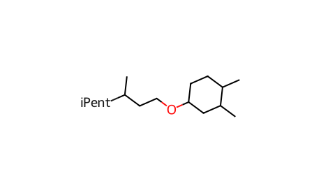 CCCC(C)C(C)CCOC1CCC(C)C(C)C1